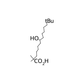 CC(C)(C)CCCCCC(O)CCCCCC(C)(C)C(=O)O